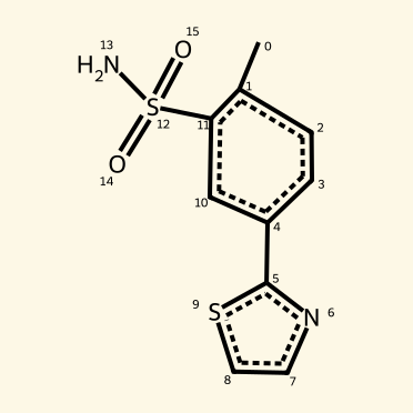 Cc1ccc(-c2nccs2)cc1S(N)(=O)=O